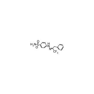 NS(=O)(=O)c1ccc(NN=C(Cc2ccccc2)C(F)(F)F)cc1